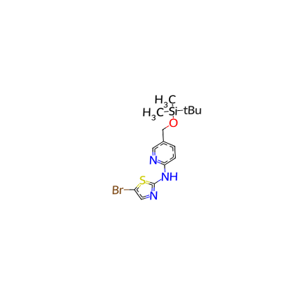 CC(C)(C)[Si](C)(C)OCc1ccc(Nc2ncc(Br)s2)nc1